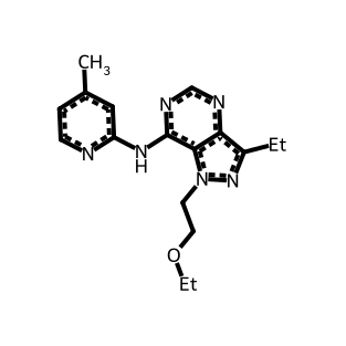 CCOCCn1nc(CC)c2ncnc(Nc3cc(C)ccn3)c21